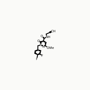 C#CCNC(=O)c1cc(OC)nn(Cc2ccc(F)c(F)c2)c1=O